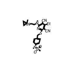 CCc1c(C#N)c(SCc2ccc(N(C)S(C)(=O)=O)cc2)nc(N(C)CCNC2(C)CC2)c1C#N